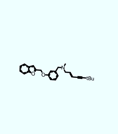 CN(C/C=C/C#CC(C)(C)C)Cc1cccc(OCc2cc3ccccc3o2)c1